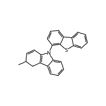 CC1C=Cc2c(c3ccccc3n2-c2cccc3c2sc2ccccc23)C1